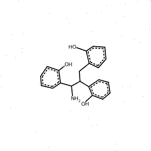 NC(c1ccccc1O)C(Cc1ccccc1O)c1ccccc1O